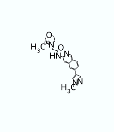 C[C@H]1COCCN1CC(=O)Nc1cc2cc(-c3cnn(C)c3)ccc2cn1